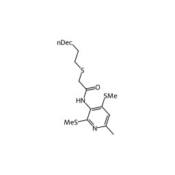 CCCCCCCCCCCCSCC(=O)Nc1c(SC)cc(C)nc1SC